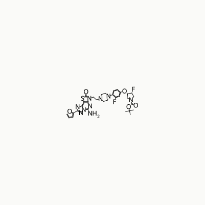 CC(C)(C)OC(=O)N1C[C@@H](F)[C@H](Oc2ccc(N3CCN(CCn4c(=O)sc5c4nc(N)n4nc(-c6ccco6)nc54)CC3)c(F)c2)C1